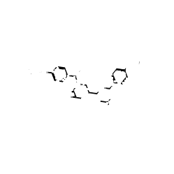 COc1ccc(CO[C@H](CC(F)F)[C@@H]2CC3OC3N([C@H](C)c3ccc(OC)cc3)C2)cc1